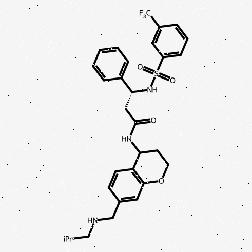 CC(C)CNCc1ccc2c(c1)OCCC2NC(=O)C[C@@H](NS(=O)(=O)c1cccc(C(F)(F)F)c1)c1ccccc1